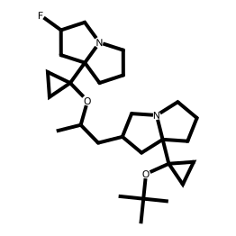 CC(CC1CN2CCCC2(C2(OC(C)(C)C)CC2)C1)OC1(C23CCCN2CC(F)C3)CC1